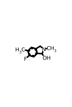 Cc1cc2c(cc1F)C(O)N(C)C2